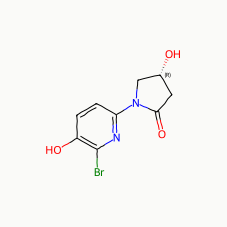 O=C1C[C@@H](O)CN1c1ccc(O)c(Br)n1